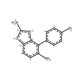 CCc1ccc(-c2c(N)ccc3oc(N)nc23)cc1